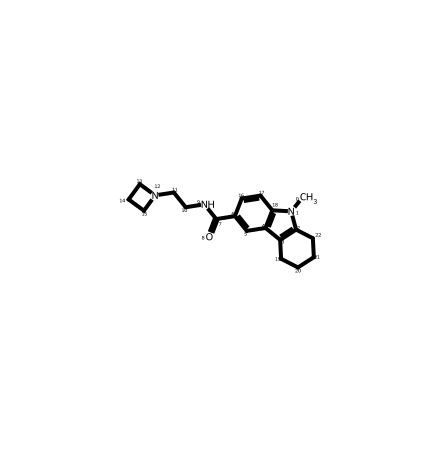 Cn1c2c(c3cc(C(=O)NCCN4CCC4)ccc31)CCCC2